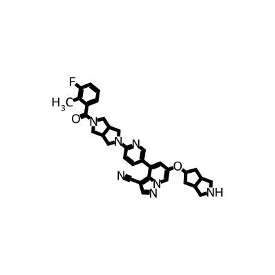 Cc1c(F)cccc1C(=O)N1CC2CN(c3ccc(-c4cc(OC5CC6CNCC6C5)cn5ncc(C#N)c45)cn3)CC2C1